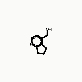 OCc1ccnc2c1CCC2